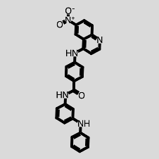 O=C(Nc1cccc(Nc2ccccc2)c1)c1ccc(Nc2ccnc3ccc([N+](=O)[O-])cc23)cc1